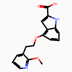 COc1ncccc1CCOc1cccc2[nH]c(C(=O)O)cc12